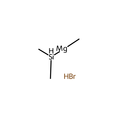 Br.[CH3][Mg][SiH](C)C